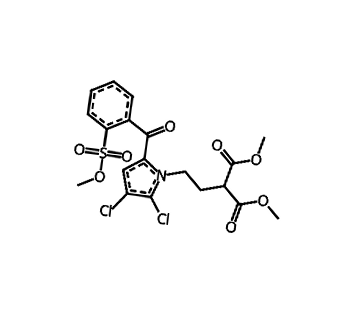 COC(=O)C(CCn1c(C(=O)c2ccccc2S(=O)(=O)OC)cc(Cl)c1Cl)C(=O)OC